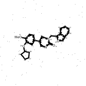 COc1ccc(-c2cnc(=O)n(Cc3occ4ccccc34)c2)cc1OC1CCCC1